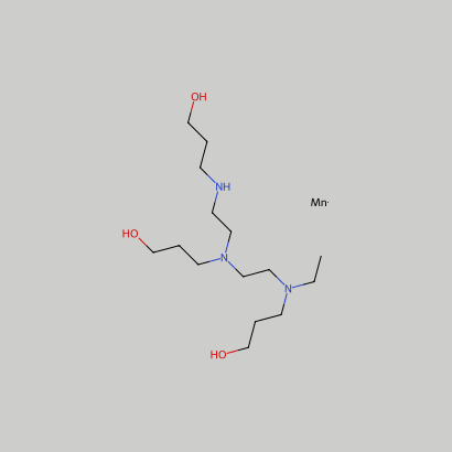 CCN(CCCO)CCN(CCCO)CCNCCCO.[Mn]